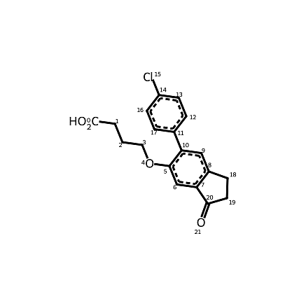 O=C(O)CCCOc1cc2c(cc1-c1ccc(Cl)cc1)CCC2=O